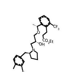 CCOC(=O)CCc1c([C@@H](C)OC[C@H](O)CN2CCC[C@H]2Cc2ccc(C)c(F)c2)cccc1C(F)(F)F